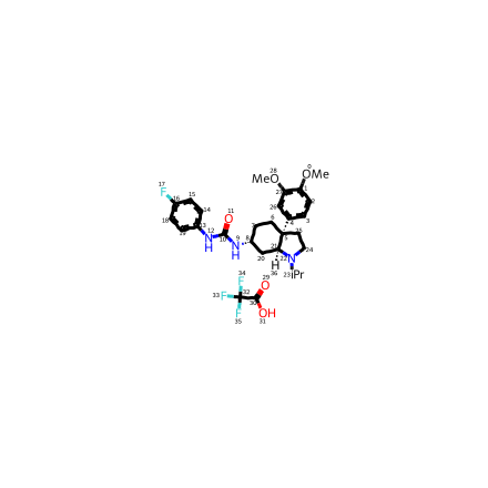 COc1ccc([C@@]23CC[C@@H](NC(=O)Nc4ccc(F)cc4)C[C@@H]2N(C(C)C)CC3)cc1OC.O=C(O)C(F)(F)F